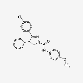 O=C(Nc1ccc(OC(F)(F)F)cc1)N1CC(c2ccccc2)C(c2ccc(Cl)cc2)=N1